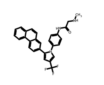 CNCC(=O)Nc1ccc(-n2cc(C(F)(F)F)cc2-c2ccc3c(ccc4ccccc43)c2)cc1